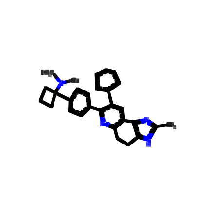 Cc1nc2c([nH]1)CCc1nc(-c3ccc(C4(N(C(=O)O)C(C)(C)C)CCC4)cc3)c(-c3ccccc3)cc1-2